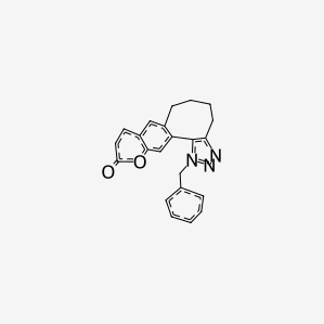 O=c1ccc2cc3c(cc2o1)-c1c(nnn1Cc1ccccc1)CCCC3